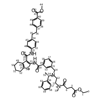 CCOC(=O)CCC(=O)N(C)CCN(Cc1cccc(C(=O)Nc2sc3c(c2C(=O)Nc2ccc(CCc4ccc(C(=O)OC)cc4)cc2)CCCC3)c1)[C@H](C)c1ccccc1